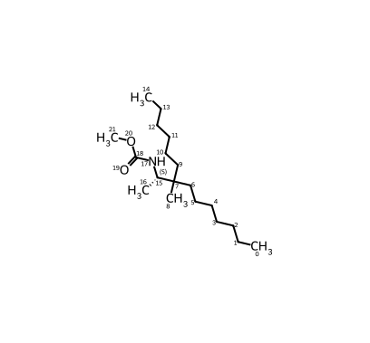 CCCCCCCC(C)(CCCCCC)[C@H](C)NC(=O)OC